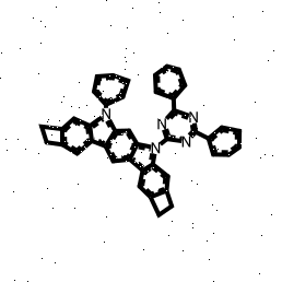 c1ccc(-c2nc(-c3ccccc3)nc(-n3c4cc5c(cc4c4cc6c7cc8c(cc7n(-c7ccccc7)c6cc43)CC8)CC5)n2)cc1